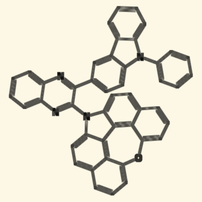 c1ccc(-n2c3ccccc3c3cc(-c4nc5ccccc5nc4-n4c5ccc6cccc7oc8cccc9ccc4c(c98)c5c67)ccc32)cc1